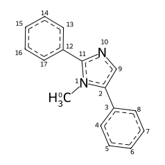 Cn1c(-c2ccccc2)cnc1-c1ccccc1